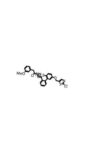 COc1cccc(CC(=O)NN=Cc2ccccc2-c2cc(OCc3cnc(Cl)s3)ccc2S(=O)(=O)O)c1